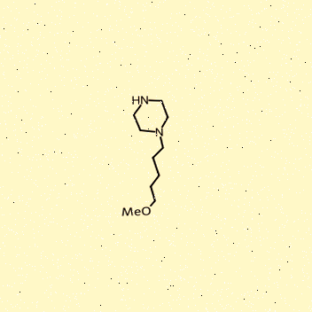 COCCCCCN1CCNCC1